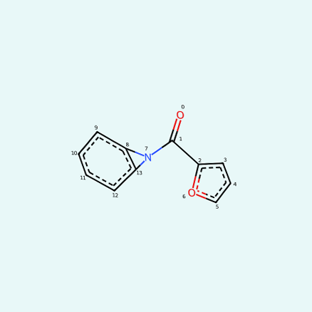 O=C(c1ccco1)N1c2ccccc21